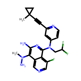 CN(N)c1c(N)nc(N(CC(F)F)c2ccnc(C#CC3(C)CC3)c2)c2c(F)cncc12